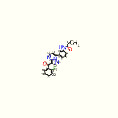 CCC(=O)Nc1cccc(-c2ccnc3c(C(=O)c4ccccc4F)cnn23)c1